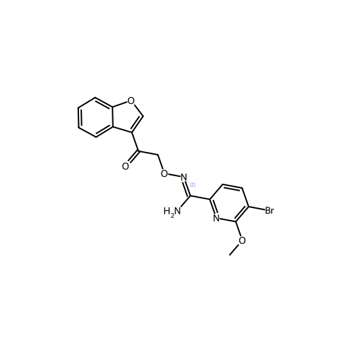 COc1nc(/C(N)=N/OCC(=O)c2coc3ccccc23)ccc1Br